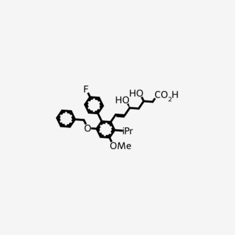 COc1cc(OCc2ccccc2)c(-c2ccc(F)cc2)c(/C=C/[C@@H](O)CC(O)CC(=O)O)c1C(C)C